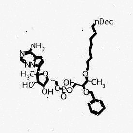 CCCCCCCCCCCCCCCCCCO[C@H](C)[C@H](COP(=O)(O)OC[C@H]1O[C@@](C)(c2ccc3c(N)ncnn23)[C@H](O)[C@@H]1O)OCc1ccccc1